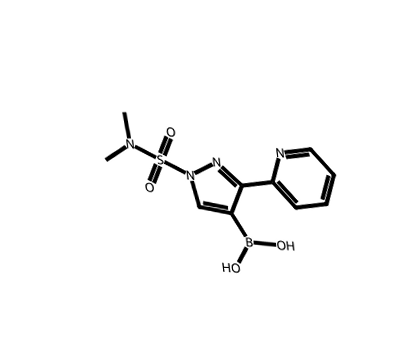 CN(C)S(=O)(=O)n1cc(B(O)O)c(-c2ccccn2)n1